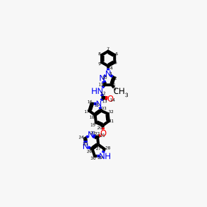 Cc1cn(-c2ccccc2)nc1NC(=O)n1ccc2cc(Oc3ncnc4c3CNC4)ccc21